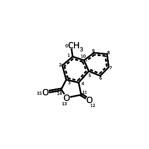 Cc1cc2c(c3ccccc13)C(=O)OC2=O